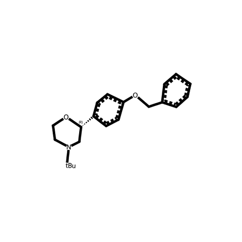 CC(C)(C)N1CCO[C@H](c2ccc(OCc3ccccc3)cc2)C1